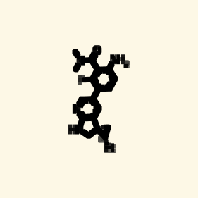 CC[C@H]1C[C@@]12CNc1ncc(-c3ccc(N)c(C(=O)N(C)C)c3F)cc12